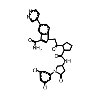 NC(=O)C1=CC(CC(=O)C2CCCC2C(=O)NC2CC(=O)N(c3cc(Cl)cc(Cl)c3)C2)c2ccc(-c3ccnnc3)cc21